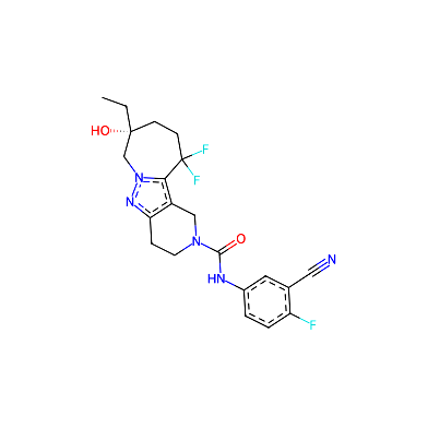 CC[C@@]1(O)CCC(F)(F)c2c3c(nn2C1)CCN(C(=O)Nc1ccc(F)c(C#N)c1)C3